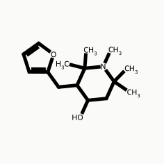 CN1C(C)(C)CC(O)C(Cc2ccco2)C1(C)C